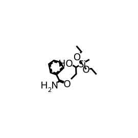 CCO[Si](C)(OCC)C(O)CC.NC(=O)c1ccccc1